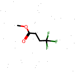 COC(=O)[CH]CC(F)(F)F